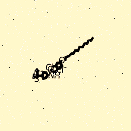 CCCCCCCCCCCCCCOc1ccc(CC(=O)Nc2ccc(-c3scc[n+]3CC)cc2)c(Cl)c1.[Cl-]